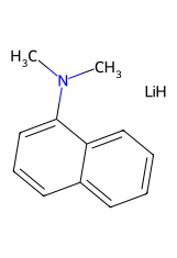 CN(C)c1cccc2ccccc12.[LiH]